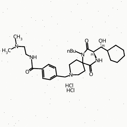 CCCCN1C(=O)[C@@H]([C@H](O)C2CCCCC2)NC(=O)C12CCN(Cc1ccc(C(=O)NCCN(C)C)cc1)CC2.Cl.Cl